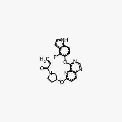 C=CC(=O)N1CC[C@H](Oc2ccc3ncnc(Oc4ccc5[nH]ccc5c4F)c3n2)C1